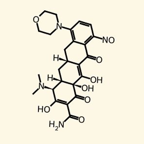 CN(C)[C@@H]1C(O)=C(C(N)=O)C(=O)[C@@]2(O)C(O)=C3C(=O)c4c(N=O)ccc(N5CCOCC5)c4C[C@H]3C[C@@H]12